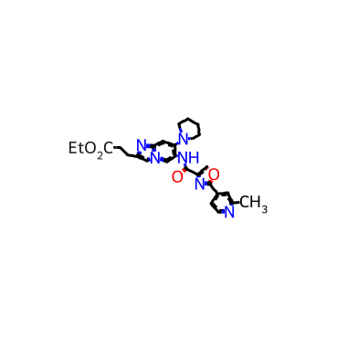 CCOC(=O)CCc1cn2cc(NC(=O)c3coc(-c4ccnc(C)c4)n3)c(N3CCCCC3)cc2n1